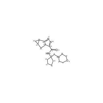 O=C(NC1(CN2CCOCC2)CCCC1)C1=NN=C2C1CC1CC21